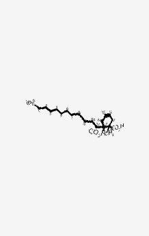 CC(C)CCCCCCCCCCCC1(C(=O)O)CC=CCC1(C)C(=O)O